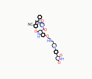 N#Cc1cccc2[nH]c(-c3ccccc3OC3(C(F)(F)F)CCN(C(=O)[C@H]4CC(=O)Nc5ccc(OCCNCC6CCN(c7ccc(C8CCC(=O)NC8=O)cc7)CC6)cc54)CC3)cc12